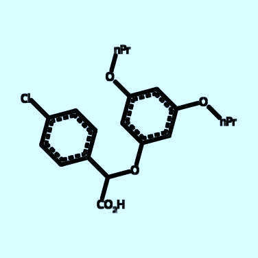 CCCOc1cc(OCCC)cc(OC(C(=O)O)c2ccc(Cl)cc2)c1